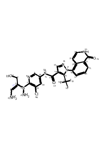 N/C=C(/CO)N(N)c1ncc(NC(=O)c2cnn(-c3cccc4c(=O)[nH]ccc34)c2C(F)(F)F)cc1Cl